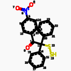 O=C(c1ccc([N+](=O)[O-])cc1)C(SS)(c1ccccc1)c1ccccc1